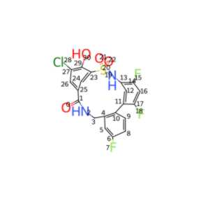 O=C1NCc2cc(F)ccc2-c2cc(c(F)cc2F)NS(=O)(=O)c2cc1cc(Cl)c2O